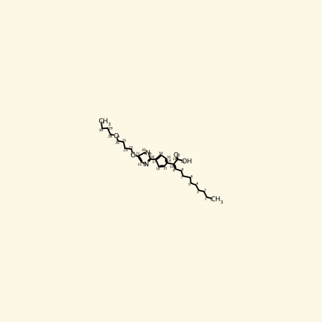 CCCCCCCCCC=C(C(=O)O)c1ccc(-c2ncc(OCCCCOCCCC)cn2)cc1